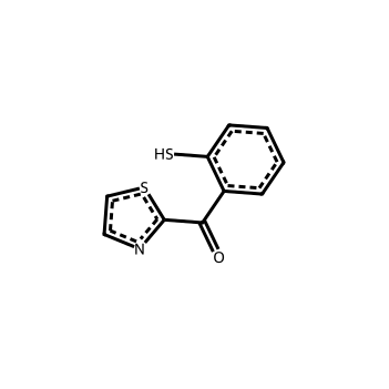 O=C(c1nccs1)c1ccccc1S